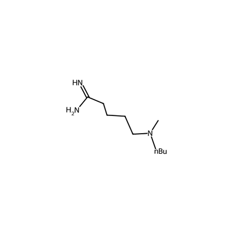 CCCCN(C)CCCCC(=N)N